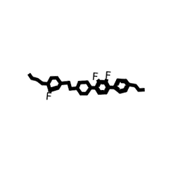 CCCCC1CCC(CCC2CCC(c3ccc(-c4ccc(CCC)cc4)c(F)c3F)CC2)C=C1F